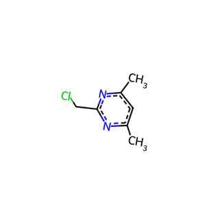 Cc1cc(C)nc(CCl)n1